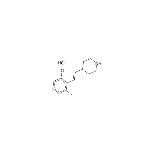 Cc1cccc(Cl)c1C=CC1CCNCC1.Cl